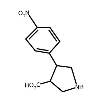 O=C(O)C1CNCC1c1ccc([N+](=O)[O-])cc1